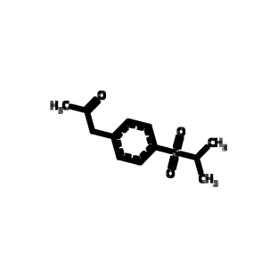 CC(=O)Cc1ccc(S(=O)(=O)C(C)C)cc1